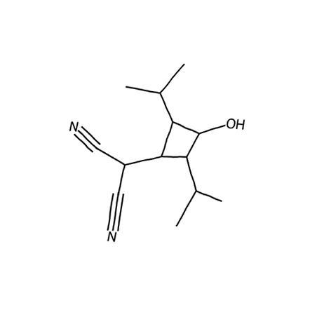 CC(C)C1C(O)C(C(C)C)C1C(C#N)C#N